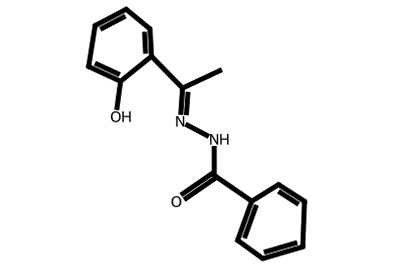 C/C(=N\NC(=O)c1ccccc1)c1ccccc1O